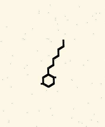 CCCCCCCC1[CH]CC[CH]C1